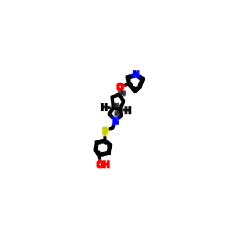 Oc1ccc(SCN2C[C@H]3C[C@H](Oc4cccnc4)C[C@H]3C2)cc1